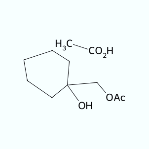 CC(=O)O.CC(=O)OCC1(O)CCCCC1